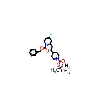 CC(C)(C)OC(=O)N1CCC(CCC2CC(F)CCN2C(=O)OCc2ccccc2)CC1